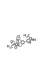 Cc1c[nH]c2ncc(-c3cc4c(c(C5COCCN5)c3)CN(C(=O)N3CCOCC3C)CC4)cc12